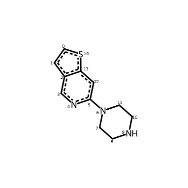 c1cc2cnc(N3CCNCC3)cc2s1